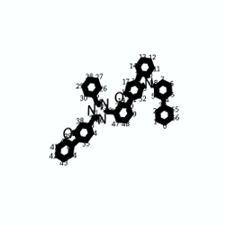 c1ccc(-c2cccc(-n3c4ccccc4c4cc5oc6c(-c7nc(-c8ccccc8)nc(-c8ccc9c(c8)oc8ccccc89)n7)cccc6c5cc43)c2)cc1